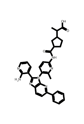 Cc1nc(NC(=O)C2CCC(C(C)C(=O)O)C2)ccc1-n1c(-c2cccnc2N)nc2ccc(-c3ccccc3)nc21